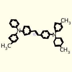 CC1=CCC(N(c2ccc(C)cc2)c2ccc(/C=C/c3ccc(N(c4ccccc4)c4ccc(C)cc4)cc3)cc2)C=C1